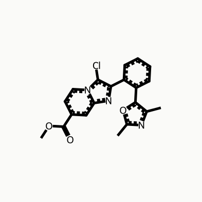 COC(=O)c1ccn2c(Cl)c(-c3ccccc3-c3oc(C)nc3C)nc2c1